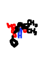 CCC(C)(C)OC(=O)N[C@H](C(=O)OCc1ccccc1)[C@H](C)O